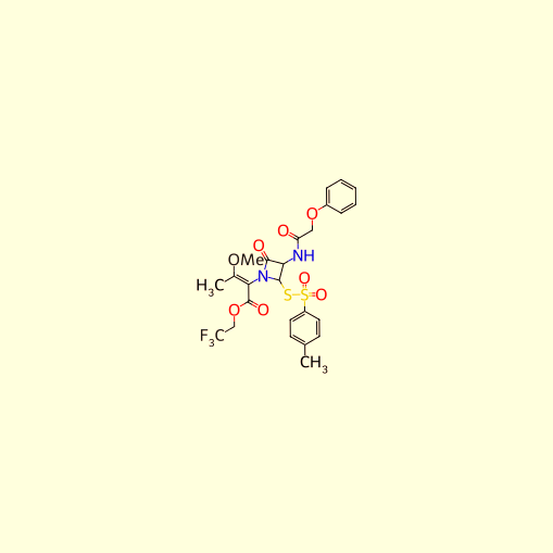 CO/C(C)=C(/C(=O)OCC(F)(F)F)N1C(=O)C(NC(=O)COc2ccccc2)C1SS(=O)(=O)c1ccc(C)cc1